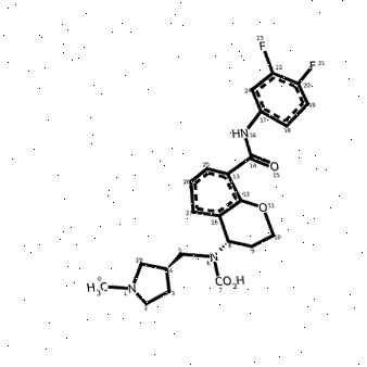 CN1CC[C@H](CN(C(=O)O)[C@H]2CCOc3c(C(=O)Nc4ccc(F)c(F)c4)cccc32)C1